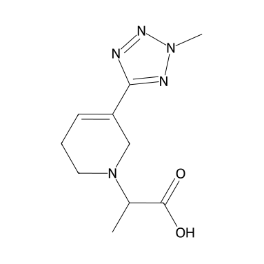 CC(C(=O)O)N1CCC=C(c2nnn(C)n2)C1